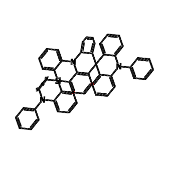 c1ccc(N2c3ccccc3C3(c4ccccc42)c2ccccc2N2c4ccccc4[Si]4(c5ccccc5N(c5ccccc5)c5ccccc54)c4cccc3c42)cc1